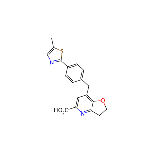 Cc1cnc(-c2ccc(Cc3cc(C(=O)O)nc4c3OCC4)cc2)s1